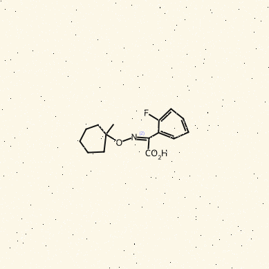 CC1(O/N=C(\C(=O)O)c2ccccc2F)CCCCC1